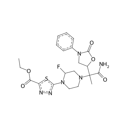 CCOC(=O)c1nnc(N2CCN(C(C)(C(N)=O)C3CN(c4ccccc4)C(=O)O3)CC2F)s1